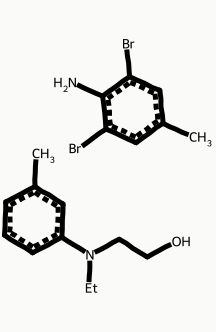 CCN(CCO)c1cccc(C)c1.Cc1cc(Br)c(N)c(Br)c1